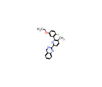 CCOc1ccc(F)c(-c2nc(-c3ncc4ccccc4n3)ccc2C)c1